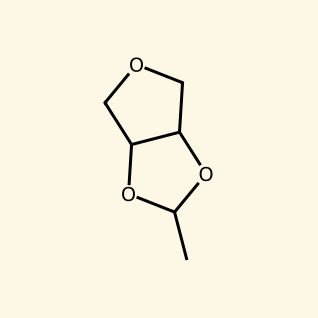 CC1OC2COCC2O1